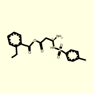 CCc1ccccc1C(=O)OC(=O)C[C@@H](N)NS(=O)(=O)c1ccc(I)cc1